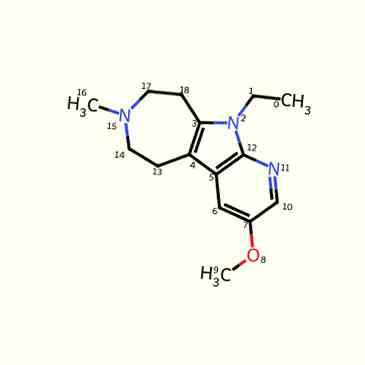 CCn1c2c(c3cc(OC)cnc31)CCN(C)CC2